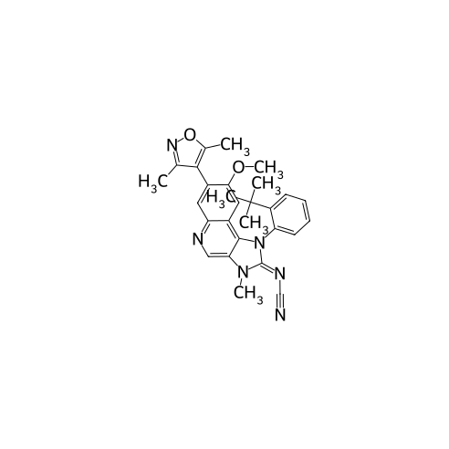 COc1cc2c(cc1-c1c(C)noc1C)ncc1c2n(-c2ccccc2C(C)(C)C)/c(=N/C#N)n1C